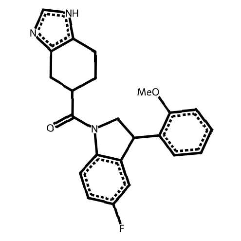 COc1ccccc1C1CN(C(=O)C2CCc3[nH]cnc3C2)c2ccc(F)cc21